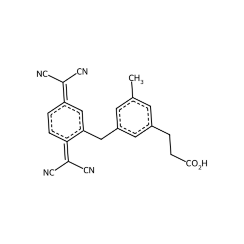 Cc1cc(CCC(=O)O)cc(Cc2cc(=C(C#N)C#N)ccc2=C(C#N)C#N)c1